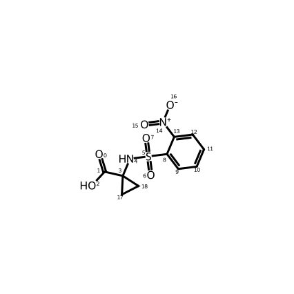 O=C(O)C1(NS(=O)(=O)c2ccccc2[N+](=O)[O-])CC1